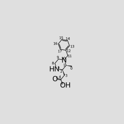 C[C@H]1[C@@H](CC(=O)O)NCCN1Cc1ccccc1